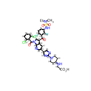 CCN(C)S(=O)(=O)Nc1ccc(F)c(C(=O)c2cn(C(=O)c3c(Cl)cccc3Cl)c3ncc(-c4cnc(N5CCC(NCC(=O)O)CC5)nc4)cc23)c1F